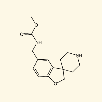 COC(=O)NCc1ccc2c(c1)C1(CCNCC1)CO2